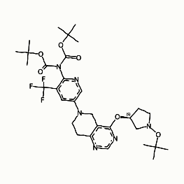 CC(C)(C)OC(=O)N(C(=O)OC(C)(C)C)c1ncc(N2CCc3ncnc(O[C@H]4CCN(OC(C)(C)C)C4)c3C2)cc1C(F)(F)F